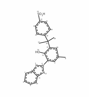 Cc1cc(-n2nc3ccccc3n2)c(O)c(C(C)(C)c2ccc(S(=O)(=O)O)cc2)c1